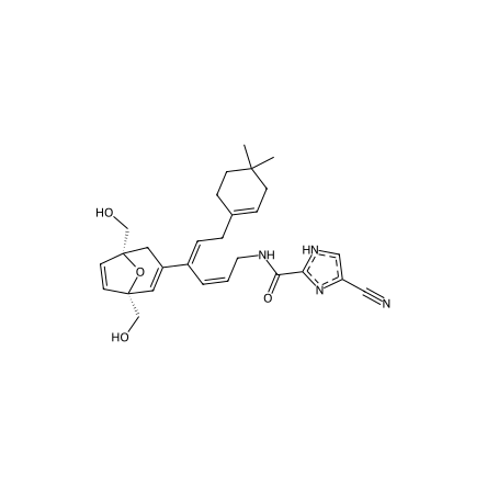 CC1(C)CC=C(C/C=C(\C=C/CNC(=O)c2nc(C#N)c[nH]2)C2=C[C@@]3(CO)C=C[C@@](CO)(C2)O3)CC1